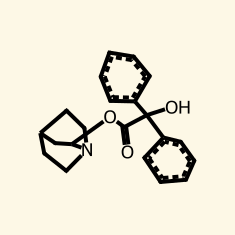 O=C(OC1CC2CCN1CC2)C(O)(c1ccccc1)c1ccccc1